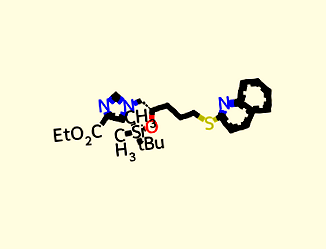 CCOC(=O)c1cn(C[C@H](CCCSc2ccc3ccccc3n2)O[Si](C)(C)C(C)(C)C)cn1